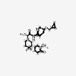 C[C@@H](C(=O)Nc1ccc(OCC2CC2)cn1)N1CCC(F)(F)[C@@H](c2ccc(=O)n(C)c2)C1